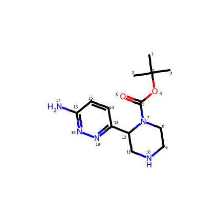 CC(C)(C)OC(=O)N1CCNCC1c1ccc(N)nn1